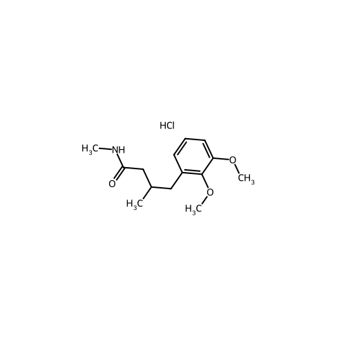 CNC(=O)CC(C)Cc1cccc(OC)c1OC.Cl